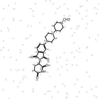 O=CN1CCC(N2CCN(c3ccc4c(c3)C(=O)N(C3CCC(=O)NC3=O)C4=O)CC2)CC1